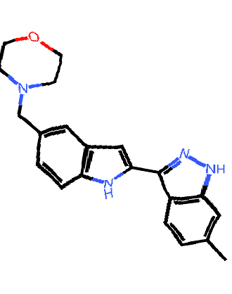 Cc1ccc2c(-c3cc4cc(CN5CCOCC5)ccc4[nH]3)n[nH]c2c1